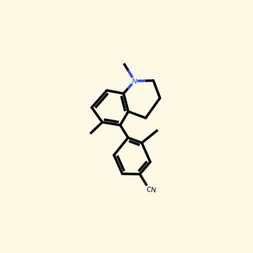 Cc1cc(C#N)ccc1-c1c(C)ccc2c1CCCN2C